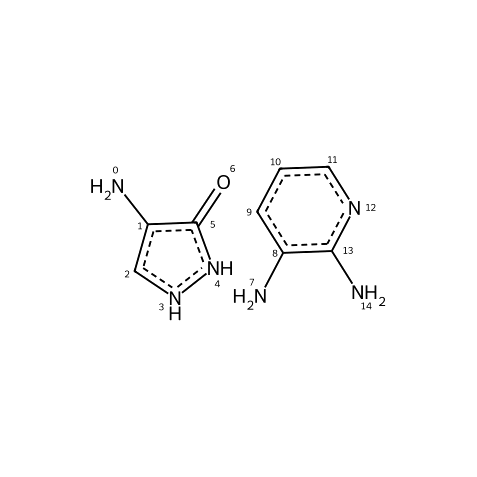 Nc1c[nH][nH]c1=O.Nc1cccnc1N